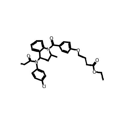 CCOC(=O)CCCOc1ccc(C(=O)N2c3ccccc3C(N(C(=O)CC)c3ccc(Cl)cc3)CC2C)cc1